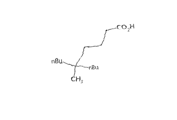 CCCCC(C)(CCCC)CCCC(=O)O